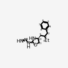 CCC(Cc1ccccc1)C[C@H]1COC(NN=N)N1